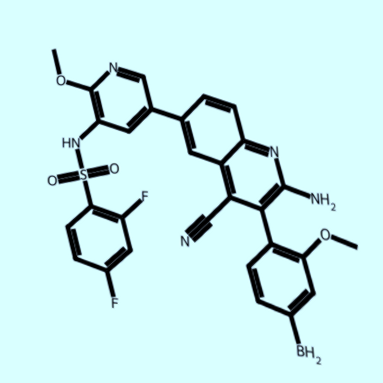 Bc1ccc(-c2c(N)nc3ccc(-c4cnc(OC)c(NS(=O)(=O)c5ccc(F)cc5F)c4)cc3c2C#N)c(OC)c1